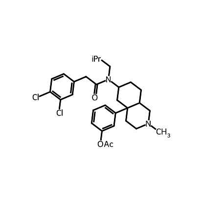 CC(=O)Oc1cccc(C23CCN(C)CC2CCC(N(CC(C)C)C(=O)Cc2ccc(Cl)c(Cl)c2)C3)c1